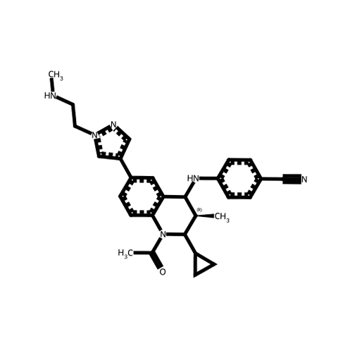 CNCCn1cc(-c2ccc3c(c2)C(Nc2ccc(C#N)cc2)[C@@H](C)C(C2CC2)N3C(C)=O)cn1